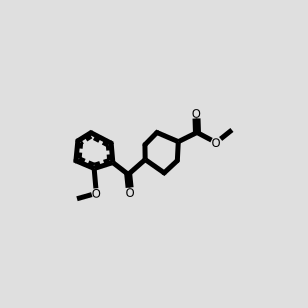 COC(=O)C1CCC(C(=O)c2ccccc2OC)CC1